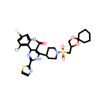 COC(=O)C1=C(C2CCN(S(=O)(=O)CC3COC4(CCCCC4)O3)CC2)NC(c2nccs2)=NC1c1ccc(F)cc1Cl